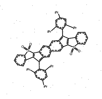 CC(C)c1cc(C(C)C)c(C2=c3cc4cc5c(cc4cc3C3=C2c2ccccc2S3(=O)=O)=C(c2c(C(C)C)cc(C(C)C)cc2C(C)C)C2=C5S(=O)(=O)c3ccccc32)c(C(C)C)c1